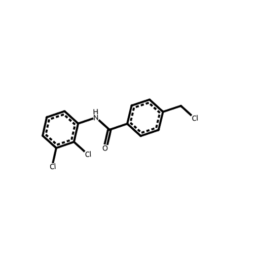 O=C(Nc1cccc(Cl)c1Cl)c1ccc(CCl)cc1